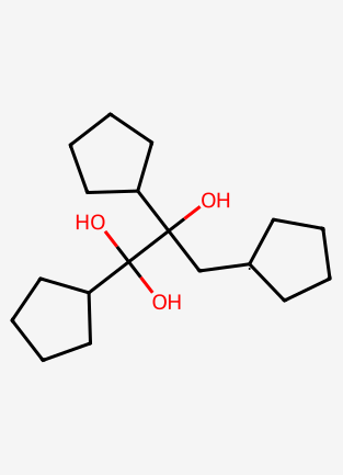 OC(O)(C1CCCC1)C(O)(C[C]1CCCC1)C1CCCC1